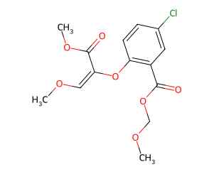 COC=C(Oc1ccc(Cl)cc1C(=O)OCOC)C(=O)OC